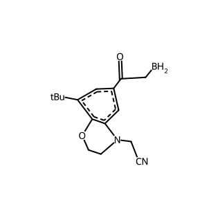 BCC(=O)c1cc2c(c(C(C)(C)C)c1)OCCN2CC#N